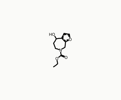 CCOC(=O)N1CCC(O)c2ccoc2C1